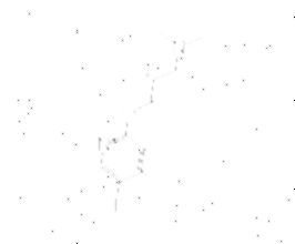 CN(C)CCCOc1ccc(I)cn1